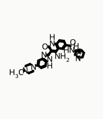 CN1CCN(c2ccc3[nH]c(-c4c(N)c5cc(C(=O)N[C@@H]6CN7CCC6CC7)ccc5[nH]c4=O)nc3c2)CC1